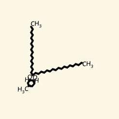 CCCCCCCCCCCCCCCCCCC1(CCCCCCCCCCCCCCCCCC)O[C@H]2C[C@@H](C)CC[C@H]2O1